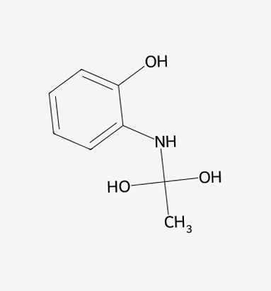 CC(O)(O)Nc1ccccc1O